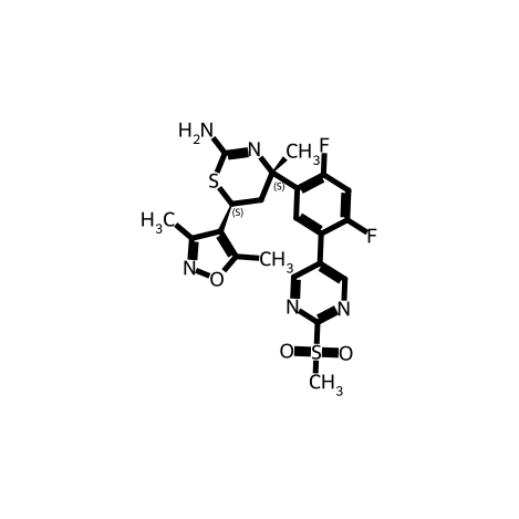 Cc1noc(C)c1[C@@H]1C[C@@](C)(c2cc(-c3cnc(S(C)(=O)=O)nc3)c(F)cc2F)N=C(N)S1